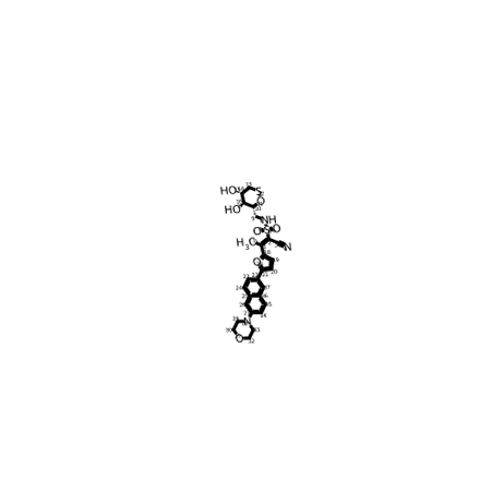 C/C(=C(/C#N)S(=O)(=O)NC[C@H]1OSC[C@@H](O)[C@@H]1O)c1ccc(-c2ccc3cc(N4CCOCC4)ccc3c2)o1